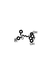 CCOc1ccc(C(=O)N(CCCCC[C@@H]2Cc3cc(O)ccc3[C@@H]3[C@@H]2[C@@H]2CC[C@H](O)[C@@]2(C)C[C@@H]3F)Cc2ccccc2)cc1